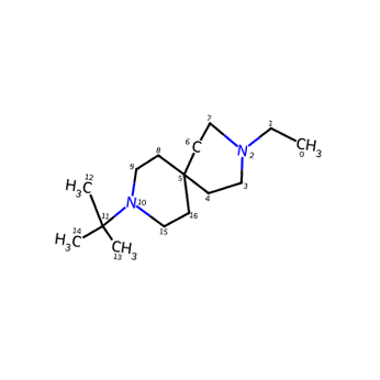 CCN1CCC2(CC1)CCN(C(C)(C)C)CC2